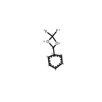 FC1(F)O[C](c2ccccc2)O1